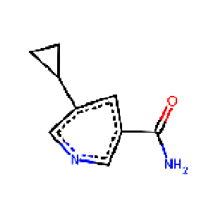 NC(=O)c1cncc(C2CC2)c1